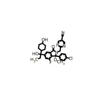 CCC(O)(c1cc(F)c2c(c1)C(=O)N(Cc1ncc(C#N)cn1)[C@@]2(OC)c1ccc(Cl)cc1)C1CCC(O)CC1